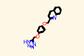 c1ccc2nc(COc3ccc(OCc4nnn[nH]4)cc3)ccc2c1